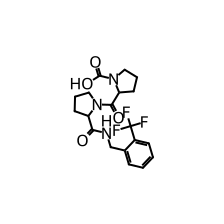 O=C(NCc1ccccc1C(F)(F)F)C1CCCN1C(=O)C1CCCN1C(=O)O